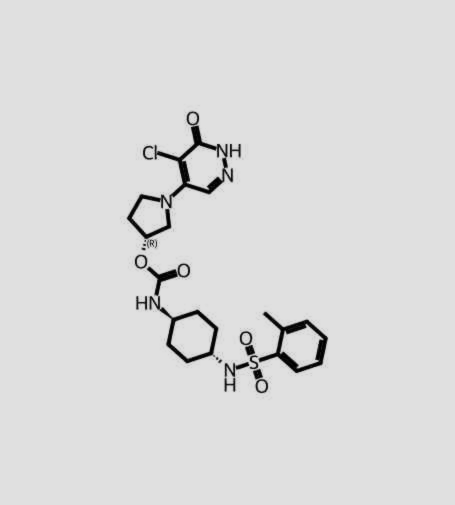 Cc1ccccc1S(=O)(=O)N[C@H]1CC[C@H](NC(=O)O[C@@H]2CCN(c3cn[nH]c(=O)c3Cl)C2)CC1